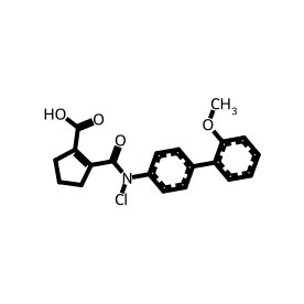 COc1ccccc1-c1ccc(N(Cl)C(=O)C2=C(C(=O)O)CCC2)cc1